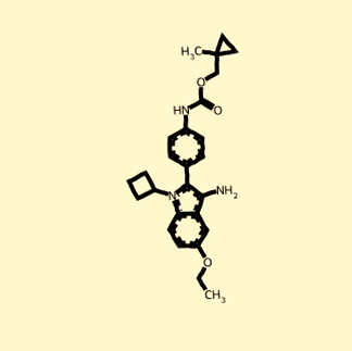 CCOc1ccc2c(c1)c(N)c(-c1ccc(NC(=O)OCC3(C)CC3)cc1)n2C1CCC1